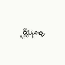 Nc1ccc(C(F)(F)F)cc1C(=O)NCC(=O)N[C@@H]1CCN(c2ccc3ocnc3c2)C1